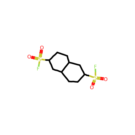 O=S(=O)(F)C1CCC2CC(S(=O)(=O)F)CCC2C1